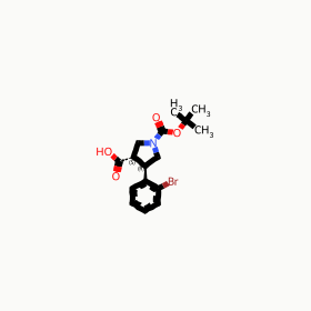 CC(C)(C)OC(=O)N1C[C@@H](C(=O)O)[C@H](c2ccccc2Br)C1